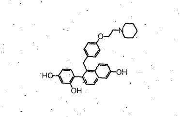 Oc1ccc(-c2ccc3cc(O)ccc3c2Cc2ccc(OCCN3CCCCC3)cc2)c(O)c1